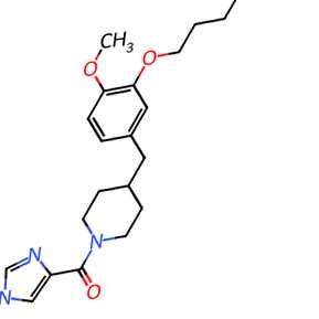 CCCCCOc1cc(CC2CCN(C(=O)c3c[nH]cn3)CC2)ccc1OC